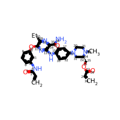 C=CC(=O)Nc1cccc(Oc2nc(Nc3ccc(N4CCN(C)[C@H](COC(=O)C=C)C4)cc3)c(C(N)=O)nc2CC)c1